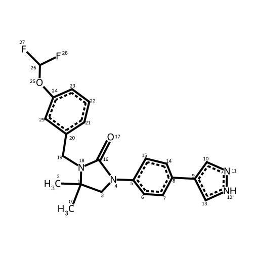 CC1(C)CN(c2ccc(-c3cn[nH]c3)cc2)C(=O)N1Cc1cccc(OC(F)F)c1